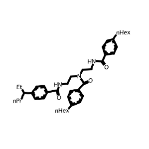 CCCCCCc1ccc(C(=O)NCCN(CCNC(=O)c2ccc(C(CC)CCC)cc2)C(=O)c2ccc(CCCCCC)cc2)cc1